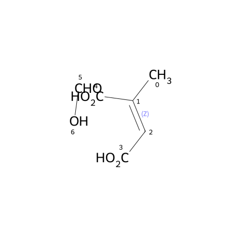 C/C(=C/C(=O)O)C(=O)O.O=CO